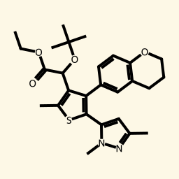 CCOC(=O)C(OC(C)(C)C)c1c(C)sc(-c2cc(C)nn2C)c1-c1ccc2c(c1)CCCO2